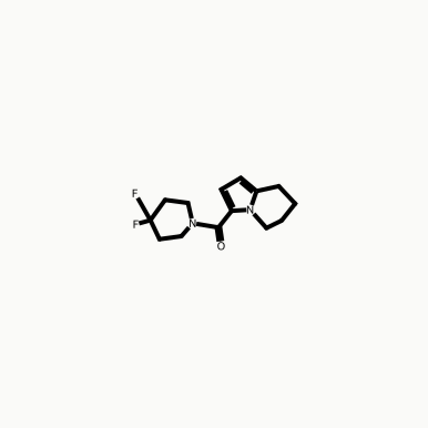 O=C(c1ccc2n1CCCC2)N1CCC(F)(F)CC1